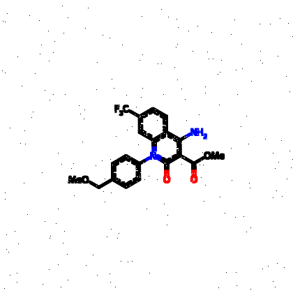 COCc1ccc(-n2c(=O)c(C(=O)OC)c(N)c3ccc(C(F)(F)F)cc32)cc1